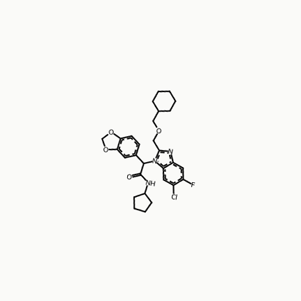 O=C(NC1CCCC1)C(c1ccc2c(c1)OCO2)n1c(COCC2CCCCC2)nc2cc(F)c(Cl)cc21